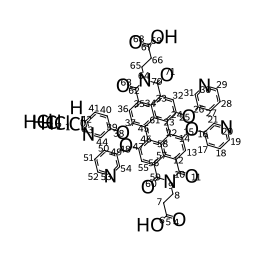 Cl.Cl.Cl.Cl.O=C(O)CCN1C(=O)c2cc(Oc3cccnc3)c3c4c(Oc5cccnc5)cc5c6c(cc(Oc7cccnc7)c(c7c(Oc8cccnc8)cc(c2c37)C1=O)c64)C(=O)N(CCC(=O)O)C5=O